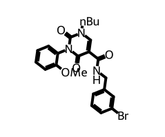 CCCCn1cc(C(=O)NCc2cccc(Br)c2)c(=O)n(-c2ccccc2OC)c1=O